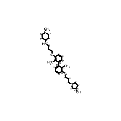 Cc1c(OCCCNC2CCN(C)CC2)cccc1-c1cccc(OCCCN2CC[C@@H](O)C2)c1C